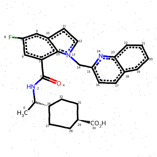 CC(NC(=O)c1cc(F)cc2ccn(Cc3ccc4ccccc4n3)c12)[C@H]1CC[C@H](C(=O)O)CC1